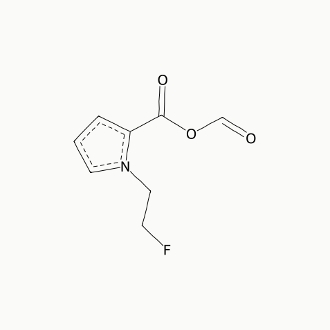 O=COC(=O)c1cccn1CCF